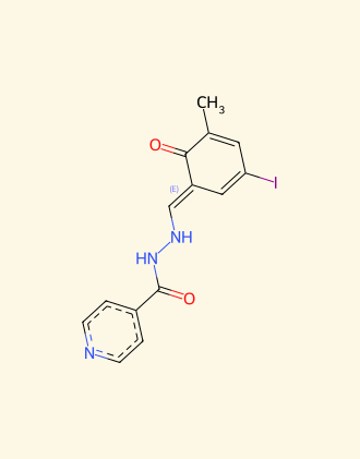 CC1=CC(I)=C/C(=C\NNC(=O)c2ccncc2)C1=O